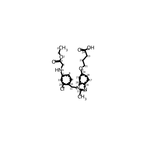 CCOC(=O)CNc1ccc(Cn2c(C)nc3ccc(OCCCC(=O)O)cc32)c(Cl)c1